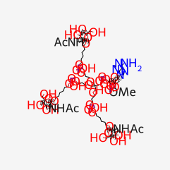 COP(=O)(O)OC1C[C@H](n2cnc3c(N)ncnc32)O[C@@H]1COP(=O)(O)OCC(COCCCOP(=O)(O)OCCCCCCO[C@@H]1OC(CO)[C@H](O)C(O)[C@@H]1NC(C)=O)(COCCCOP(=O)(O)OCCCCCCO[C@@H]1OC(CO)[C@H](O)C(O)[C@@H]1NC(C)=O)COCCCOP(=O)(O)OCCCCCCO[C@@H]1OC(CO)[C@H](O)C(O)[C@@H]1NC(C)=O